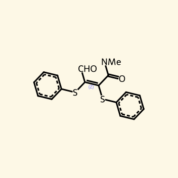 CNC(=O)/C(Sc1ccccc1)=C(\C=O)Sc1ccccc1